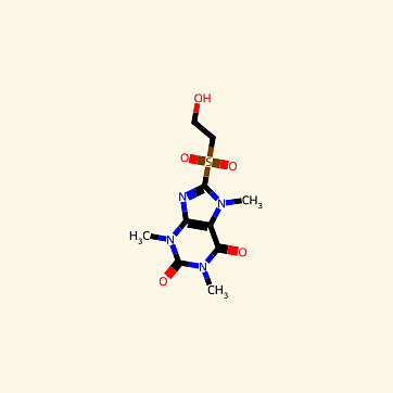 Cn1c(=O)c2c(nc(S(=O)(=O)CCO)n2C)n(C)c1=O